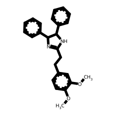 COc1ccc(CCC2=NC(c3ccccc3)C(c3ccccc3)N2)cc1OC